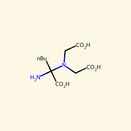 CCCCC(N)(C(=O)O)N(CC(=O)O)CC(=O)O